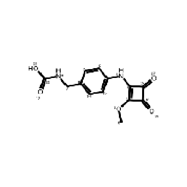 COc1c(Nc2ccc(CNC(=O)O)cc2)c(=O)c1=O